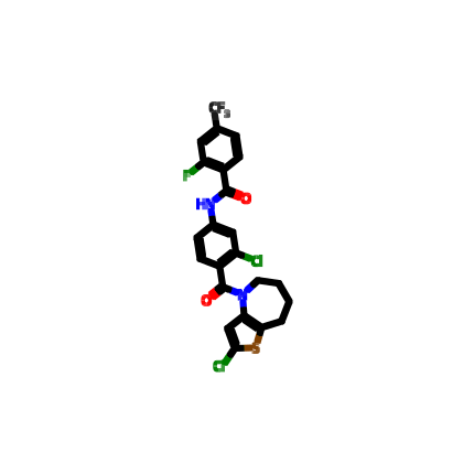 O=C(Nc1ccc(C(=O)N2CCCCc3sc(Cl)cc32)c(Cl)c1)c1ccc(C(F)(F)F)cc1F